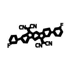 [C-]#[N+]/C(C#N)=C1/c2cc(-c3cccc(F)c3)ccc2-c2cc3c(cc21)-c1ccc(-c2cccc(F)c2)cc1/C3=C(/C#N)[N+]#[C-]